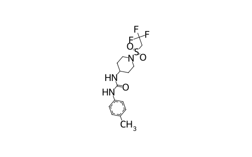 Cc1ccc(NC(=O)NC2CCN(S(=O)(=O)CC(F)(F)F)CC2)cc1